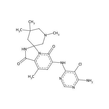 Cc1cc(Nc2ncnc(N)c2Cl)c(=O)n2c1C(=O)NC21CN(C)CC(C)(C)C1